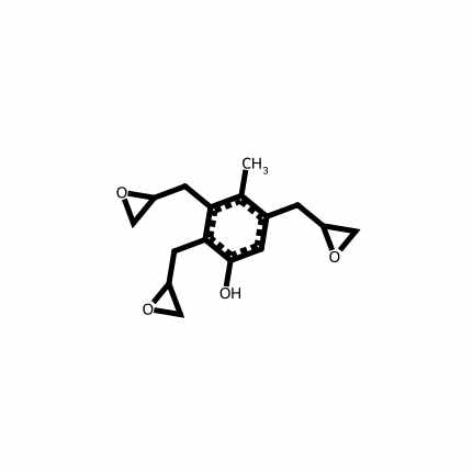 Cc1c(CC2CO2)cc(O)c(CC2CO2)c1CC1CO1